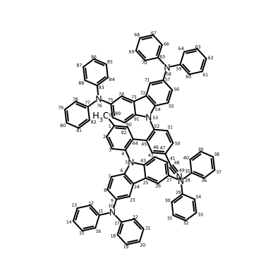 Cc1ccc(-n2c3ccc(N(c4ccccc4)c4ccccc4)cc3c3cc(N(c4ccccc4)c4ccccc4)ccc32)c(-c2cc(C#N)ccc2-n2c3ccc(N(c4ccccc4)c4ccccc4)cc3c3cc(N(c4ccccc4)c4ccccc4)ccc32)c1